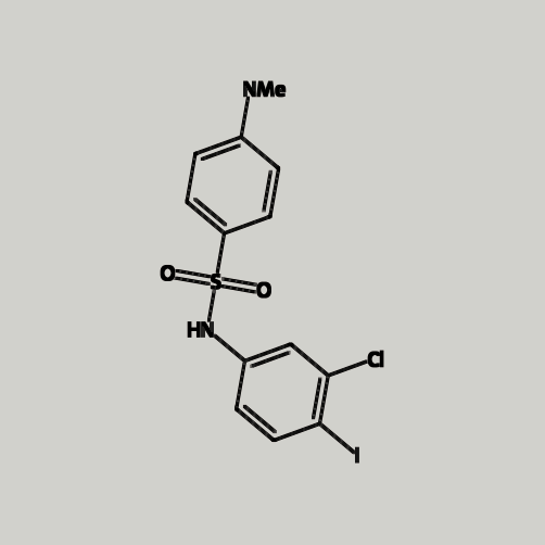 CNc1ccc(S(=O)(=O)Nc2ccc(I)c(Cl)c2)cc1